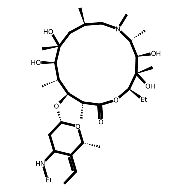 C/C=C1\C(NCC)C[C@H](O[C@H]2[C@H](C)[C@@H](O)[C@](C)(O)C[C@@H](C)CN(C)[C@H](C)[C@@H](O)[C@](C)(O)[C@@H](CC)OC(=O)[C@@H]2C)O[C@@H]1C